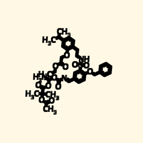 CCOC(=O)COc1cc(C(C)C)ccc1CCNS(=O)(=O)c1cc(C=NC(=O)OC(N)OC(=O)C(C)(C)OC(C)=O)ccc1OCc1ccccc1